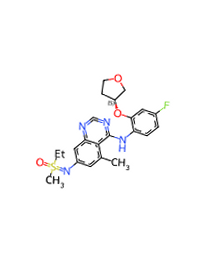 CCS(C)(=O)=Nc1cc(C)c2c(Nc3ccc(F)cc3O[C@H]3CCOC3)ncnc2c1